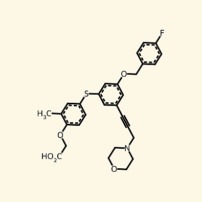 Cc1cc(Sc2cc(C#CCN3CCOCC3)cc(OCc3ccc(F)cc3)c2)ccc1OCC(=O)O